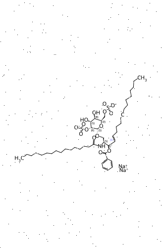 CCCCCCCCCCCCC/C=C/[C@@H](OC(=O)c1ccccc1)[C@H](CO[C@H]1O[C@H](COS(=O)(=O)[O-])[C@H](O)[C@H](O)[C@H]1OS(=O)(=O)[O-])NC(=O)CCCCCCCCCCCCCCC.[Na+].[Na+]